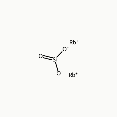 O=[Si]([O-])[O-].[Rb+].[Rb+]